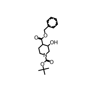 CC(C)(C)OC(=O)N1CCC(C(=O)OCc2ccccc2)C(O)C1